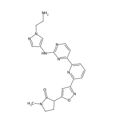 CN1CCC(c2cc(-c3cccc(-c4ccnc(Nc5cnn(CCN)c5)n4)n3)no2)C1=O